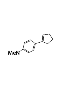 CNc1ccc(C2=CCCC2)cc1